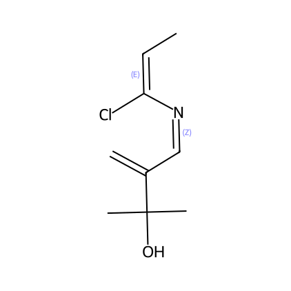 C=C(/C=N\C(Cl)=C/C)C(C)(C)O